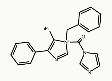 CC(C)C1=C(c2ccccc2)N=C[N+]1(Cc1ccccc1)C(=O)n1ccnc1